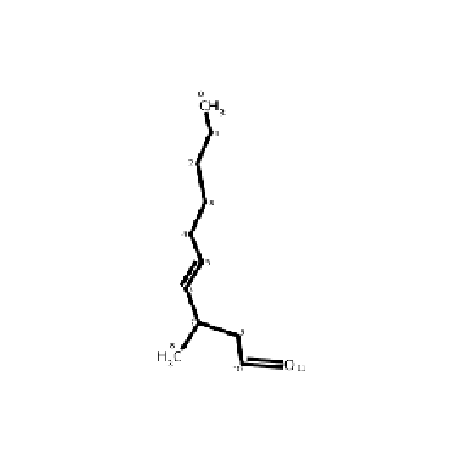 CCCCCC=CC(C)CC=O